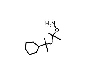 CC(C)(CC(C)(C)C1CCCCC1)ON